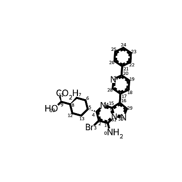 Nc1c(Br)c([C@H]2CC[C@H]([C@@H](O)C(=O)O)CC2)nc2c(-c3ccc(-c4ccccc4)nc3)cnn12